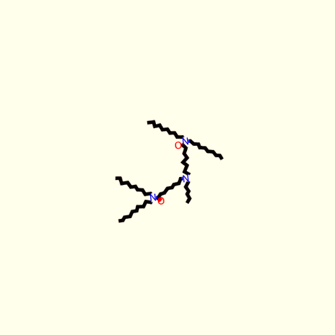 CCCCCCCCCCN(CCCCCCCCCC)C(=O)CCCCCCCN(CCCCCC)CCCCCCCC(=O)N(CCCCCCCCCC)CCCCCCCCCC